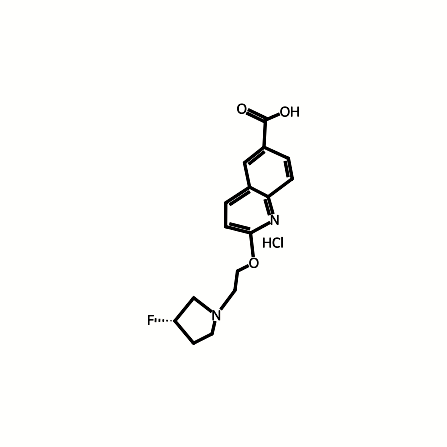 Cl.O=C(O)c1ccc2nc(OCCN3CC[C@H](F)C3)ccc2c1